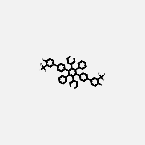 C/C=C\C(=C/C)c1c(-c2ccccc2)c(-c2ccc(-c3ccc(F)c(C(F)(F)F)c3)cc2)c(C(/C=C\C)=C/C)c(-c2ccccc2)c1-c1ccc(-c2ccc(F)c(C(F)(F)F)c2)cc1